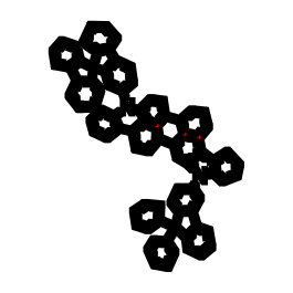 c1ccc(-c2ccc(N(c3ccc4c(c3)C3(c5ccccc5-c5ccccc53)c3ccccc3-4)c3ccccc3-c3ccc(-c4ccc5c6ccccc6n(-c6ccc7c(c6)-c6ccccc6C7(c6ccccc6)c6ccccc6)c5c4)cc3)cc2)cc1